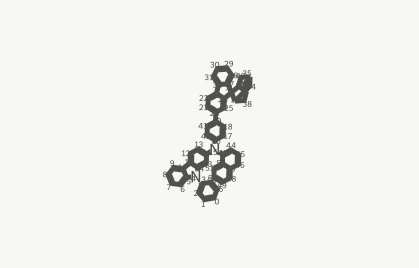 c1ccc(-n2c3ccccc3c3ccc(N(c4ccc(-c5ccc6c(c5)C5(c7ccccc7-6)C6CC7CC(C6)C5C7)cc4)c4cccc5ccccc45)cc32)cc1